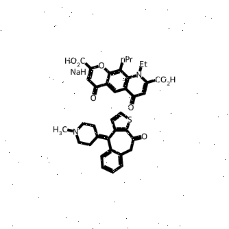 CCCc1c2oc(C(=O)O)cc(=O)c2cc2c(=O)cc(C(=O)O)n(CC)c12.CN1CCC(=C2c3ccccc3CC(=O)c3sccc32)CC1.[NaH]